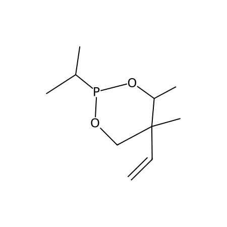 C=CC1(C)COP(C(C)C)OC1C